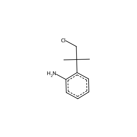 CC(C)(CCl)c1ccccc1N